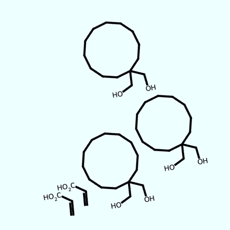 C=CC(=O)O.C=CC(=O)O.OCC1(CO)CCCCCCCCCCC1.OCC1(CO)CCCCCCCCCCC1.OCC1(CO)CCCCCCCCCCC1